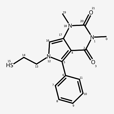 Cn1c(=O)c2c(-c3ccccc3)n(CCS)cc2n(C)c1=O